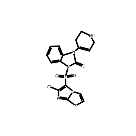 O=c1n(C2=CCNCC2)c2ccccc2n1S(=O)(=O)c1c(Cl)nc2sccn12